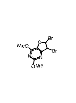 COc1nc(OC)c2c(n1)C(Br)C(Br)O2